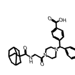 O=C(O)c1ccc(C(c2ccccc2)N2CCN(C(=O)CNC(=O)C34CC5CC(CC(C5)C3)C4)CC2)cc1